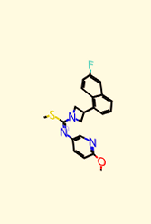 COc1ccc(/N=C(/SC)N2CC(c3cccc4cc(F)ccc34)C2)cn1